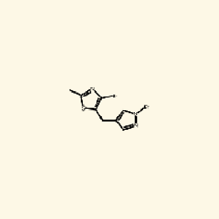 CCn1cc(Cc2sc(C)nc2Br)cn1